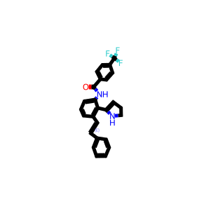 O=C(Nc1cccc(/C=C/c2ccccc2)c1C1=CCCN1)c1ccc(C(F)(F)F)cc1